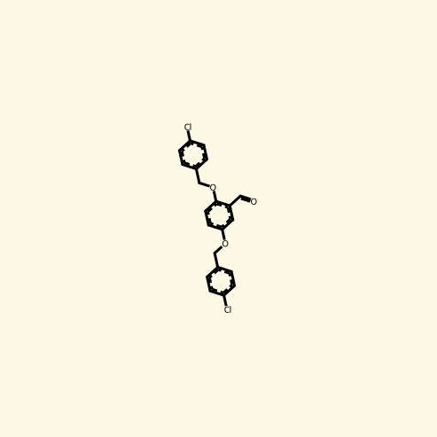 O=Cc1cc(OCc2ccc(Cl)cc2)ccc1OCc1ccc(Cl)cc1